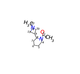 CC(=O)N1CCCCC1C1CN(C)C1